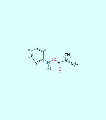 C=C(C)C(=O)ON(CC)c1ccccc1